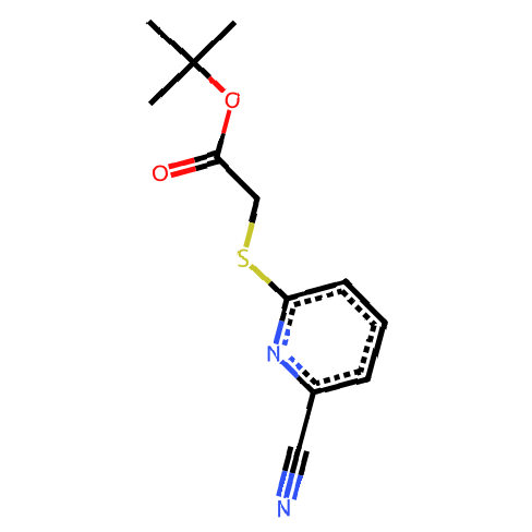 CC(C)(C)OC(=O)CSc1cccc(C#N)n1